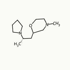 C[C@@H](CC1CN(C)CCO1)N1CCCC1